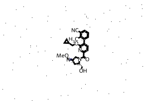 CO/N=C1/C[C@@H](CO)N(C(=O)c2ccc(-c3cccc(C#N)c3C)c(OCC3CC3)n2)C1